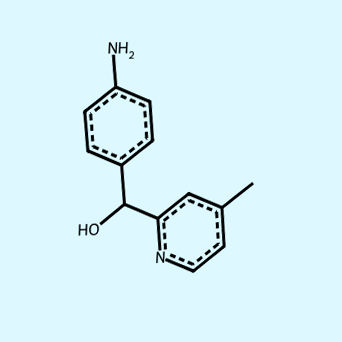 Cc1ccnc(C(O)c2ccc(N)cc2)c1